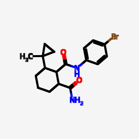 CC1(C2CCCC(C(N)=O)C2C(=O)Nc2ccc(Br)cc2)CC1